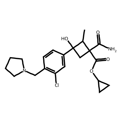 CC1C(C(N)=O)(C(=O)OC2CC2)CC1(O)c1ccc(CN2CCCC2)c(Cl)c1